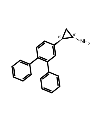 N[C@H]1C[C@@H]1c1ccc(-c2ccccc2)c(-c2ccccc2)c1